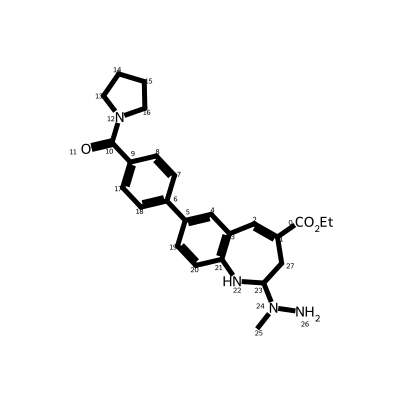 CCOC(=O)C1=Cc2cc(-c3ccc(C(=O)N4CCCC4)cc3)ccc2NC(N(C)N)C1